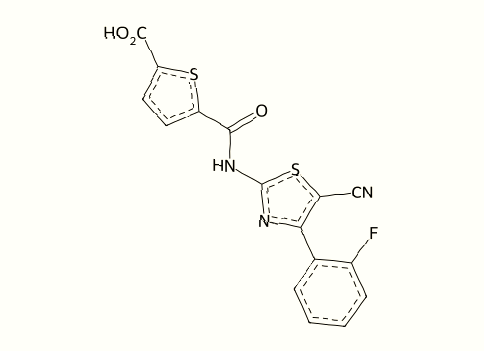 N#Cc1sc(NC(=O)c2ccc(C(=O)O)s2)nc1-c1ccccc1F